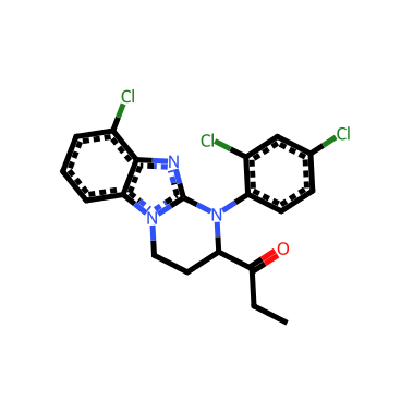 CCC(=O)C1CCn2c(nc3c(Cl)cccc32)N1c1ccc(Cl)cc1Cl